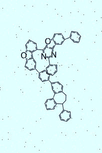 c1ccc(-c2ccc3oc4c(-c5cccc6oc7ccc(-c8ccc(-c9ccc%10c(c9)-c9ccccc9C(c9ccccc9)CC%10)cc8)cc7c56)nc(-c5ccccc5)nc4c3c2)cc1